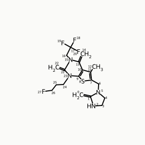 C=C1NCCN1Cc1sc2c(c1C)C(=C)N(CC(F)(F)F)C(=C)N2CCCF